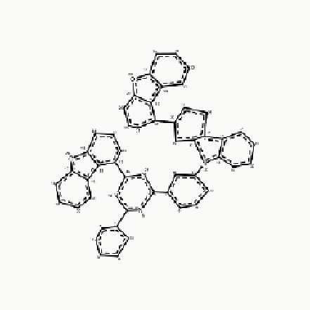 c1ccc(-c2nc(-c3cccc(-n4c5ccccc5c5ccc(-c6cccc7oc8ccccc8c67)cc54)c3)nc(-c3cccc4oc5ccccc5c34)n2)cc1